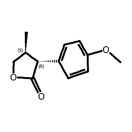 COc1ccc([C@@H]2C(=O)OC[C@H]2C)cc1